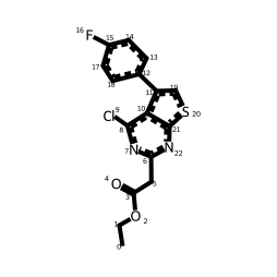 CCOC(=O)Cc1nc(Cl)c2c(-c3ccc(F)cc3)csc2n1